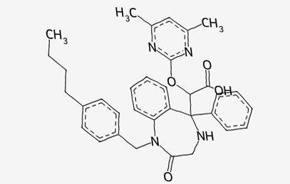 CCCCc1ccc(CN2C(=O)CNC(c3ccccc3)(C(Oc3nc(C)cc(C)n3)C(=O)O)c3ccccc32)cc1